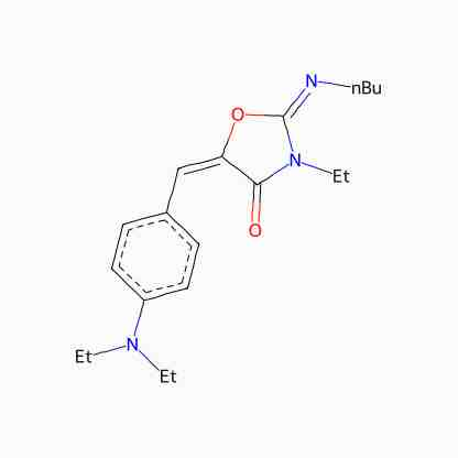 CCCC/N=C1/O/C(=C/c2ccc(N(CC)CC)cc2)C(=O)N1CC